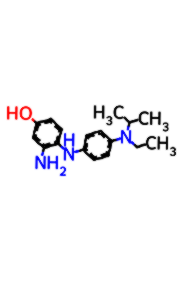 CCN(c1ccc(Nc2ccc(O)cc2N)cc1)C(C)C